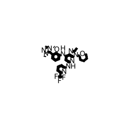 COc1c(Nc2cc(Nc3cccc(C(F)(F)F)n3)nc3c2nc(C)n3C2CCCCO2)cccc1-c1ncnn1C